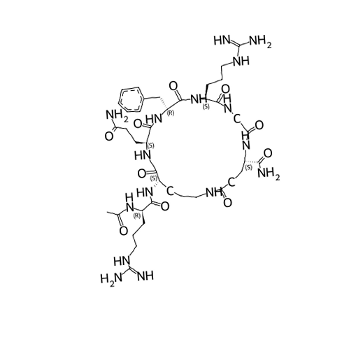 CC(=O)N[C@H](CCCNC(=N)N)C(=O)N[C@H]1CCCNC(=O)CC[C@@H](C(N)=O)NC(=O)CNC(=O)[C@H](CCCNC(=N)N)NC(=O)[C@@H](Cc2ccccc2)NC(=O)[C@H](CCC(N)=O)NC1=O